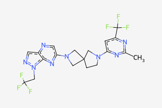 Cc1nc(N2CCC3(C2)CN(c2cnc4cnn(CC(F)(F)F)c4n2)C3)cc(C(F)(F)F)n1